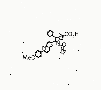 COc1ccc(-c2ccc3cc(-c4c(-c5ccccc5)c5sc(C(=O)O)cc5n4CC(=O)N4CCC4)ccc3n2)cc1